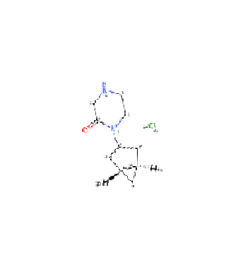 Cl.O=C1CNCCN1C1C[C@H]2C[C@@H]2C1